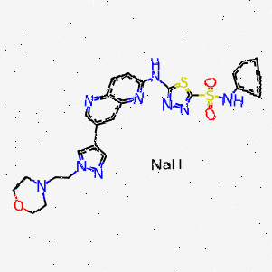 O=S(=O)(Nc1ccccc1)c1nnc(Nc2ccc3ncc(-c4cnn(CCN5CCOCC5)c4)cc3n2)s1.[NaH]